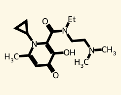 CCN(CCN(C)C)C(=O)c1c(O)c(=O)cc(C)n1C1CC1